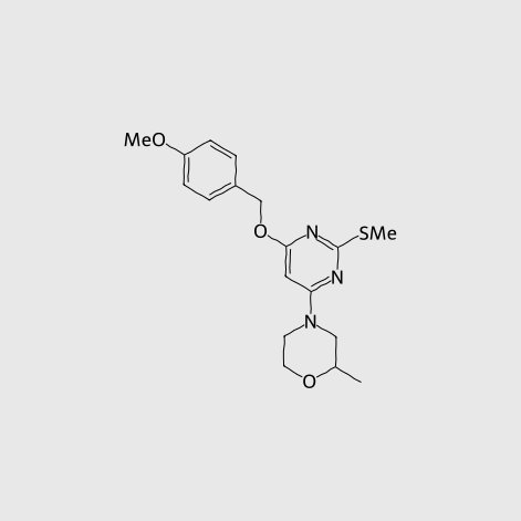 COc1ccc(COc2cc(N3CCOC(C)C3)nc(SC)n2)cc1